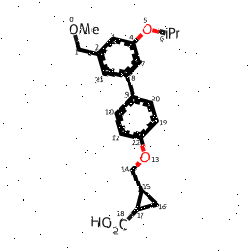 COCc1cc(OC(C)C)cc(-c2ccc(OCC3CC3C(=O)O)cc2)c1